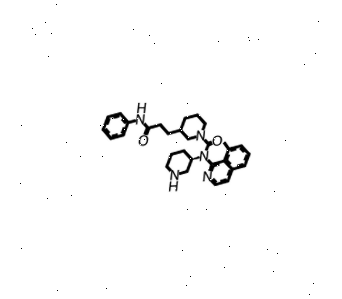 Cc1cccc2ccnc(N(C(=O)N3CCCC(CCC(=O)Nc4ccccc4)C3)[C@@H]3CCCNC3)c12